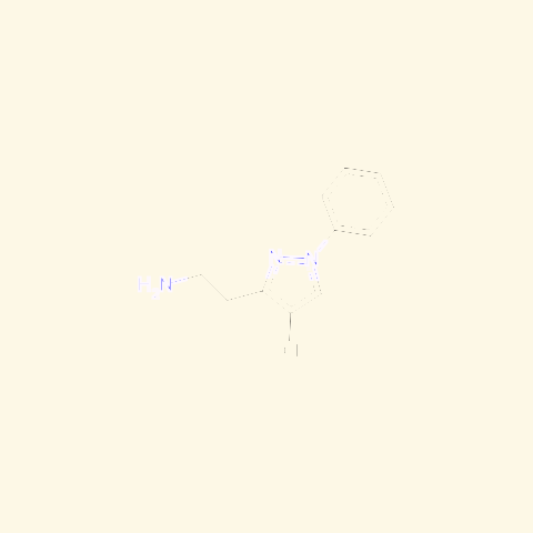 Cc1cn(-c2ccccc2)nc1CCN